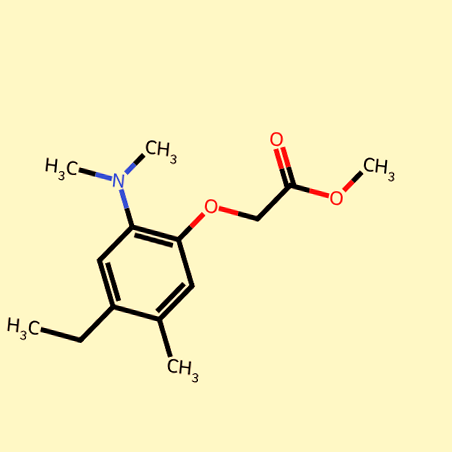 CCc1cc(N(C)C)c(OCC(=O)OC)cc1C